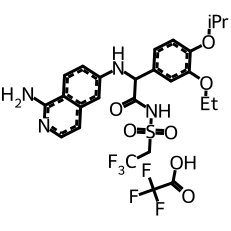 CCOc1cc(C(Nc2ccc3c(N)nccc3c2)C(=O)NS(=O)(=O)CC(F)(F)F)ccc1OC(C)C.O=C(O)C(F)(F)F